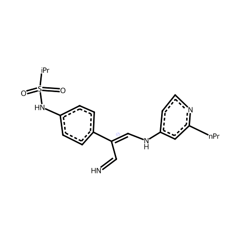 CCCc1cc(N/C=C(\C=N)c2ccc(NS(=O)(=O)C(C)C)cc2)ccn1